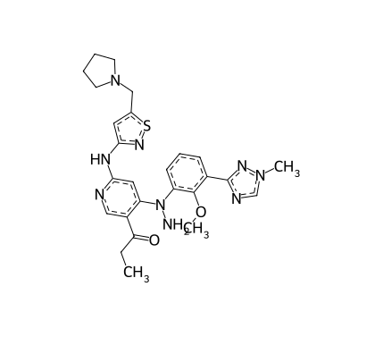 CCC(=O)c1cnc(Nc2cc(CN3CCCC3)sn2)cc1N(N)c1cccc(-c2ncn(C)n2)c1OC